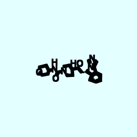 O=C(NC1CCOCC1)N1CCC([C@H](O)C[C@H]2c3ccccc3-c3cncn32)CC1